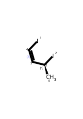 C[C@H](I)/C=C\I